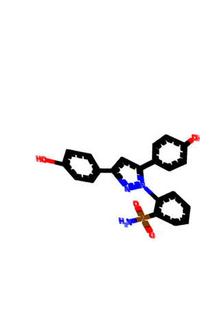 NS(=O)(=O)c1ccccc1-n1nc(-c2ccc(O)cc2)cc1-c1ccc(O)cc1